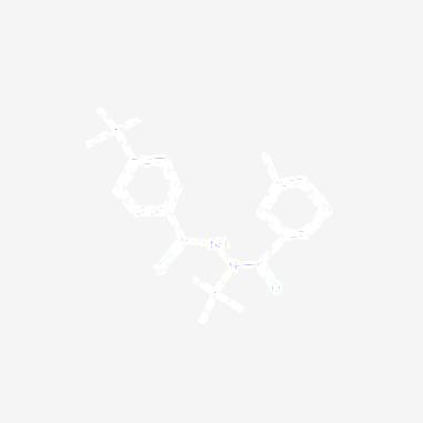 Cc1cccc(C(=O)N(NC(=O)c2ccc(C(C)(C)C)cc2)C(C)(C)C)c1